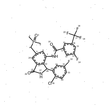 CP(C)(=O)Cc1cc(NC(=O)c2cc(F)cc(C(F)(F)F)c2)c2c(c1)C(=O)NC2c1cc(F)ccc1Cl